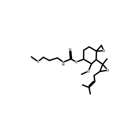 COC1C(OC(=O)NCCCSC)CCC2(CO2)C1C1(C)OC1CC=C(C)C